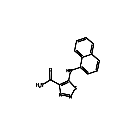 NC(=O)c1nnsc1Nc1cccc2ccccc12